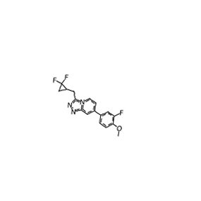 COc1ccc(-c2ccn3c(CC4CC4(F)F)nnc3c2)cc1F